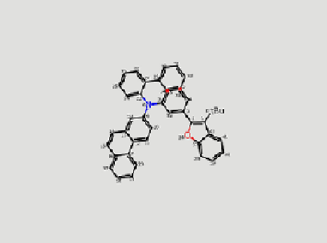 CC(C)(C)c1c(-c2cccc(N(c3ccc4c(ccc5ccccc54)c3)c3ccccc3-c3ccccc3)c2)oc2ccccc12